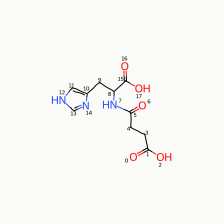 O=C(O)CCC(=O)NC(Cc1c[nH]cn1)C(=O)O